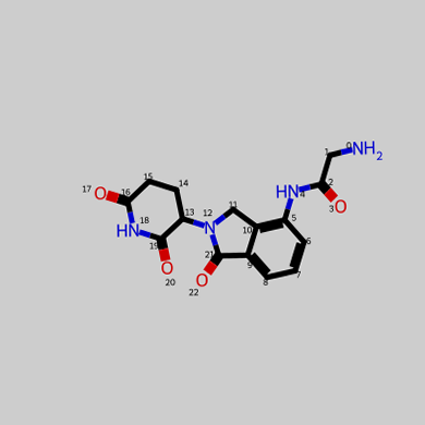 NCC(=O)Nc1cccc2c1CN(C1CCC(=O)NC1=O)C2=O